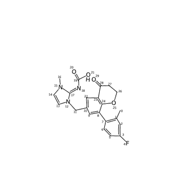 Cc1cc(F)ccc1-c1cc(Cn2ccn(C)c2=NC(=O)O)cc2c1OCCC2=O